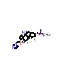 CONOC[C@H]1CC[C@@]2(C)C(CC[C@@H]3C2CC[C@@]2(C)C3CC[C@@H]2C(=O)Cn2ccnc2)C1.N